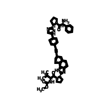 COC(=O)N[C@H](C(=O)N1CCC[C@H]1c1nc2ccc3cc(C#Cc4ccc(-c5cnc([C@@H]6CCCN6C(=O)[C@H](N)c6ccccc6)[nH]5)cc4)ccc3c2[nH]1)C(C)C